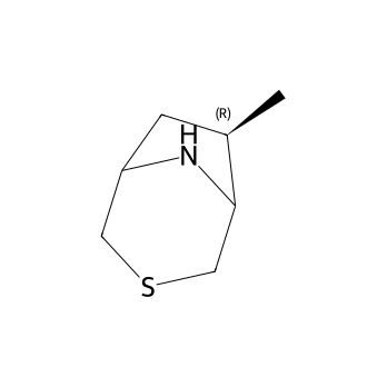 C[C@@H]1CC2CSCC1N2